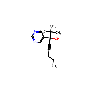 CCCC#CC(O)(c1cncnc1)C(C)(C)C